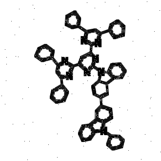 C1=CC2C(C=C1c1ccc3c(c1)c1ccccc1n3-c1ccccc1)c1ccccc1N2c1nc(-c2nc(-c3ccccc3)cc(-c3ccccc3)n2)cc(-c2nc(-c3ccccc3)cc(-c3ccccc3)n2)n1